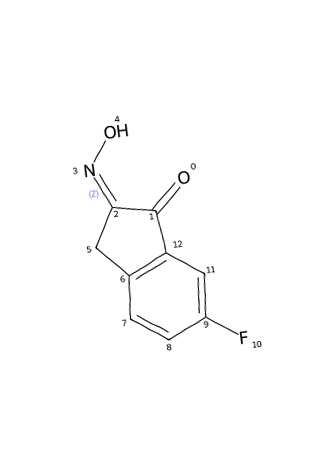 O=C1/C(=N\O)Cc2ccc(F)cc21